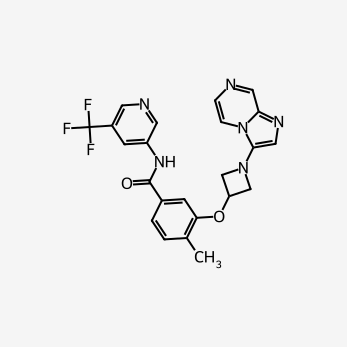 Cc1ccc(C(=O)Nc2cncc(C(F)(F)F)c2)cc1OC1CN(c2cnc3cnccn23)C1